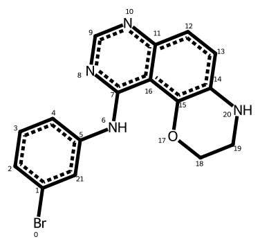 Brc1cccc(Nc2ncnc3ccc4c(c23)OCCN4)c1